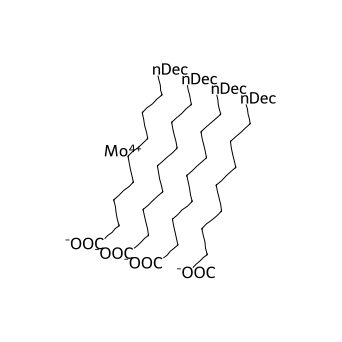 CCCCCCCCCCCCCCCCCC(=O)[O-].CCCCCCCCCCCCCCCCCC(=O)[O-].CCCCCCCCCCCCCCCCCC(=O)[O-].CCCCCCCCCCCCCCCCCC(=O)[O-].[Mo+4]